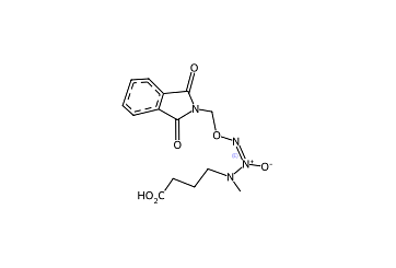 CN(CCCC(=O)O)/[N+]([O-])=N\OCN1C(=O)c2ccccc2C1=O